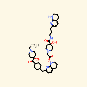 O=C(O)CN1CCC(O)(C(=O)C2CCC(Cc3ccc4c(n3)N(OC(=O)CN3CCC(O)(C(=O)NCCCc5ccc6c(n5)NCCC6)CC3)CCC4)CC2)CC1